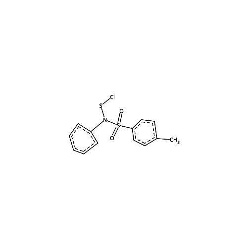 Cc1ccc(S(=O)(=O)N(SCl)c2ccccc2)cc1